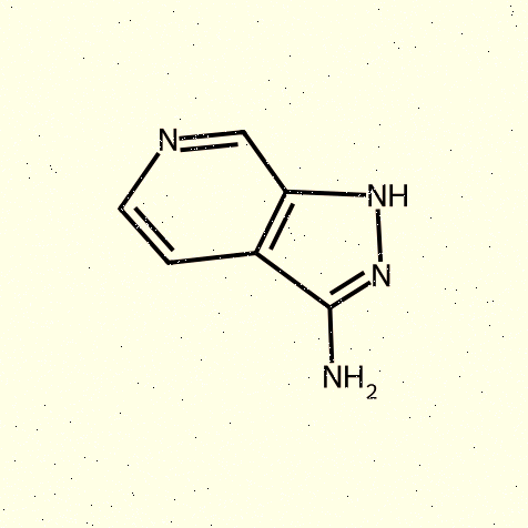 Nc1n[nH]c2cnccc12